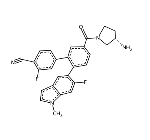 Cn1ccc2cc(-c3ccc(C(=O)N4CC[C@H](N)C4)cc3-c3ccc(C#N)c(F)c3)c(F)cc21